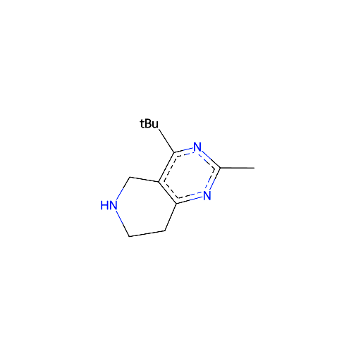 Cc1nc2c(c(C(C)(C)C)n1)CNCC2